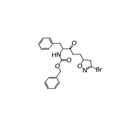 O=C(NC(Cc1ccccc1)C(=O)CCC1CC(Br)=NO1)OCc1ccccc1